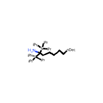 CCCCCCCCCCCCCCCC(N)([Si](C(C)C)(C(C)C)C(C)C)[Si](C(C)C)(C(C)C)C(C)C